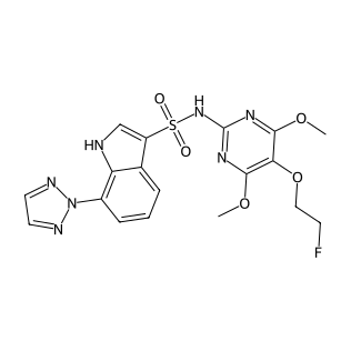 COc1nc(NS(=O)(=O)c2c[nH]c3c(-n4nccn4)cccc23)nc(OC)c1OCCF